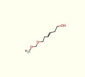 COCOCCC=CCCO